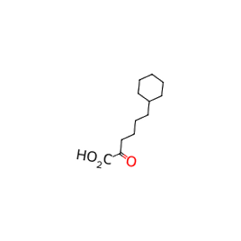 O=C(O)C(=O)CCCCC1CCCCC1